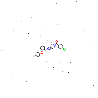 O=C(c1ccc(Cl)cc1)N1CCC2(CC1)CN(Cc1ccccc1Oc1ccc(F)cc1)C2